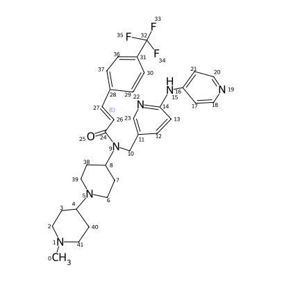 CN1CCC(N2CCC(N(Cc3ccc(Nc4ccncc4)nc3)C(=O)/C=C/c3ccc(C(F)(F)F)cc3)CC2)CC1